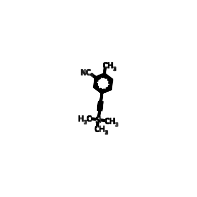 Cc1ccc(C#C[Si](C)(C)C)cc1C#N